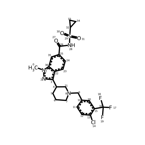 Cn1nc(C2CCCN(Cc3ccc(Cl)c(C(F)(F)F)c3)C2)c2ccc(C(=O)NS(=O)(=O)C3CC3)cc21